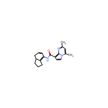 Cc1cc(C)n2ccc(C(=O)NC3=C4CCCC4CC=C3)c2n1